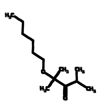 CCCCCCOC(C)(C)C(=O)C(C)C